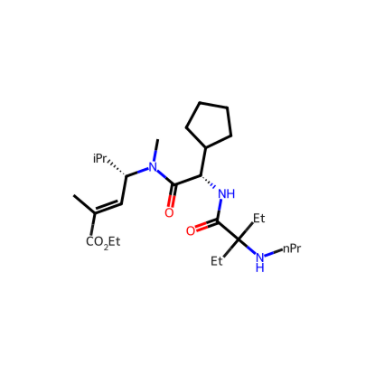 CCCNC(CC)(CC)C(=O)N[C@H](C(=O)N(C)[C@H](/C=C(\C)C(=O)OCC)C(C)C)C1CCCC1